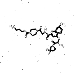 CCCCOC(=O)N1CCN(C(=O)CNC(=O)c2cc(O[C@H](C)C(=O)N3CCC(F)(F)C3)c3ccc(C)cc3n2)CC1